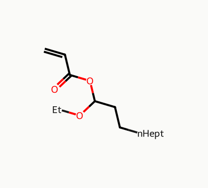 C=CC(=O)OC(CCCCCCCCC)OCC